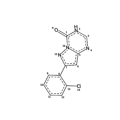 O=c1[nH]cnc2cc(-c3ccccc3Cl)nn12